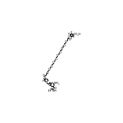 CCCN(OCC)C(=O)C1=Cc2sc(CN3CCC4[C@H](C3)CN4C(=O)CCOCCOCCOCCOCCOCCOCCOCCOCCOCCOCCC(=O)Oc3c(F)c(F)c(S(=O)(=O)O)c(F)c3F)cc2N=C(N)C1